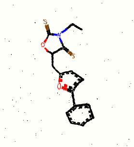 CCN1C(=S)OC(Cc2ccc(-c3ccccc3)o2)C1=S